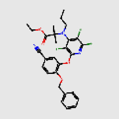 CCCN(c1c(F)c(F)nc(Oc2cc(C#N)ccc2OCc2ccccc2)c1F)C(C)(C)C(=O)OCC